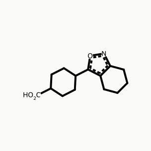 O=C(O)C1CCC(c2onc3c2CCCC3)CC1